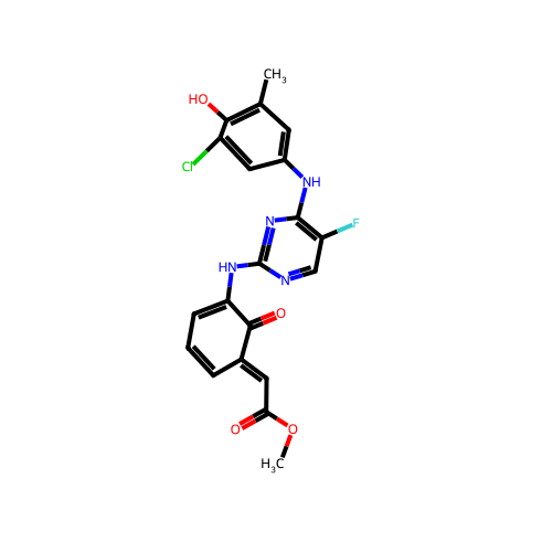 COC(=O)C=C1C=CC=C(Nc2ncc(F)c(Nc3cc(C)c(O)c(Cl)c3)n2)C1=O